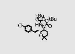 CC(C)(C)OC(=O)NN(C(=O)OC(C)(C)C)C1CCC(C)(C)O[C@@H]1C=Cc1ccc(Cl)cc1